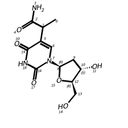 CC(C(N)=O)c1cn([C@H]2C[C@H](O)[C@@H](CO)O2)c(=O)[nH]c1=O